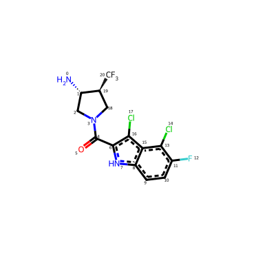 N[C@H]1CN(C(=O)c2[nH]c3ccc(F)c(Cl)c3c2Cl)C[C@@H]1C(F)(F)F